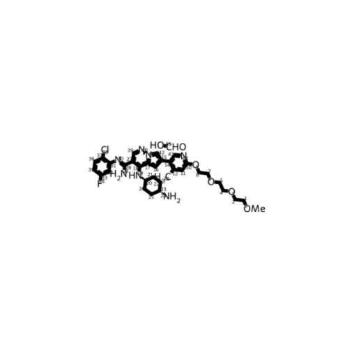 COCCOCCOCCOc1cc(C)c(-c2cc3c(N[C@H]4CC[C@H](N)CC4)c(C(N)=Nc4cc(F)ccc4Cl)cnn3c2)cn1.O=CO